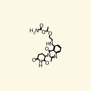 Cc1nc2cccc(NCCOC(C)OC(N)=O)c2c(=O)n1C1CCC(=O)NC1=O